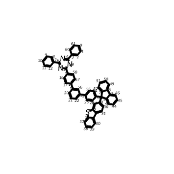 c1ccc(-c2nc(-c3ccccc3)nc(-c3ccc(-c4cccc(-c5ccc(C6(c7ccc8c(c7)sc7ccccc78)c7ccccc7-c7ccccc76)cc5)c4)cc3)n2)cc1